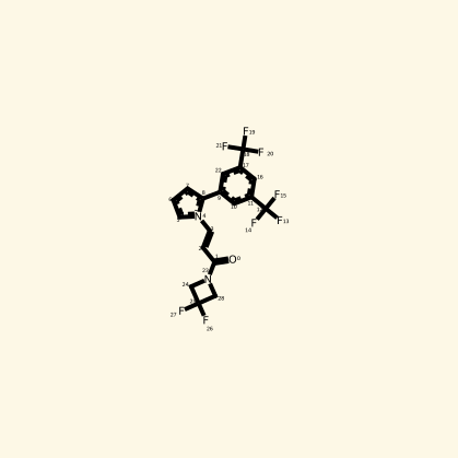 O=C(C=Cn1cccc1-c1cc(C(F)(F)F)cc(C(F)(F)F)c1)N1CC(F)(F)C1